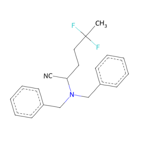 CC(F)(F)CCC(C#N)N(Cc1ccccc1)Cc1ccccc1